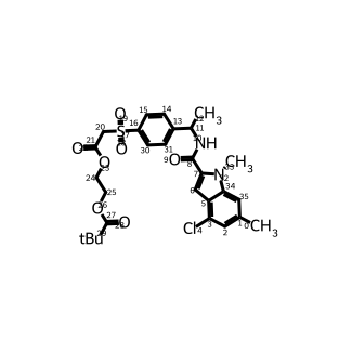 Cc1cc(Cl)c2cc(C(=O)NC(C)c3ccc(S(=O)(=O)CC(=O)OCCOC(=O)C(C)(C)C)cc3)n(C)c2c1